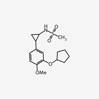 COc1ccc(C2CC2NS(C)(=O)=O)cc1OC1CCCC1